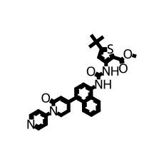 COC(=O)c1sc(C(C)(C)C)cc1NC(=O)Nc1ccc(C2=CC(=O)N(c3ccncc3)CC2)c2ccccc12